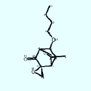 CCCCOC1CC2C(C)=CC1C(=O)[C@]21CO1